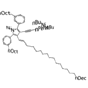 CCCCCC#CC1=C(c2cccc(CCCCCCCC)c2)[N+](=[N-])C(c2cccc(CCCCCCCC)c2)=C1C=CCCCCCCCCCCCCCCCCCCCCCCCC.CCC[CH2][Ni][CH2]CCC